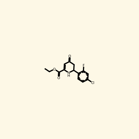 CCOC(=O)C1=CC(=O)CC(c2ccc(Cl)cc2F)N1